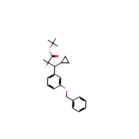 CC(C)(C)OC(=O)C(C)(F)C(c1cccc(OCc2ccccc2)c1)C1CC1